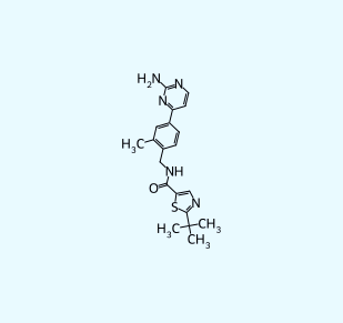 Cc1cc(-c2ccnc(N)n2)ccc1CNC(=O)c1cnc(C(C)(C)C)s1